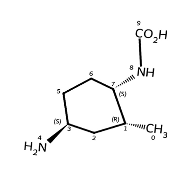 C[C@@H]1C[C@@H](N)CC[C@@H]1NC(=O)O